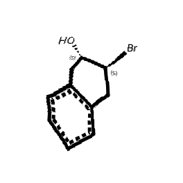 O[C@H]1c2ccccc2C[C@@H]1Br